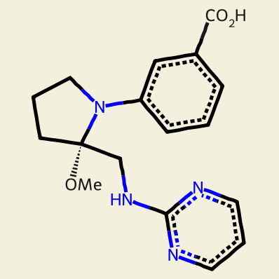 CO[C@]1(CNc2ncccn2)CCCN1c1cccc(C(=O)O)c1